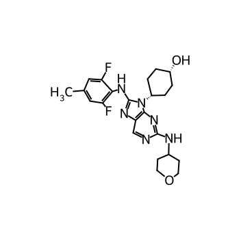 Cc1cc(F)c(Nc2nc3cnc(NC4CCOCC4)nc3n2[C@H]2CC[C@@H](O)CC2)c(F)c1